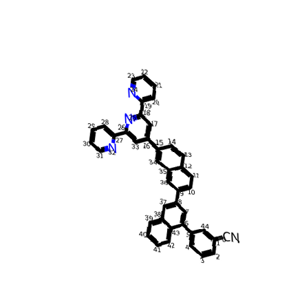 N#Cc1cccc(-c2cc(-c3ccc4ccc(-c5cc(-c6ccccn6)nc(-c6ccccn6)c5)cc4c3)cc3ccccc23)c1